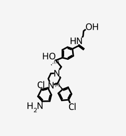 C=C(NCCO)c1ccc([C@](C)(O)CN2CCN(c3ccc(N)cc3Cl)[C@H](c3ccc(Cl)cc3)C2)cc1